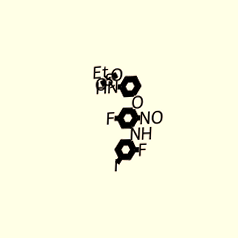 CCS(=O)(=O)Nc1cccc(Oc2cc(F)cc(Nc3ccc(I)cc3F)c2N=O)c1